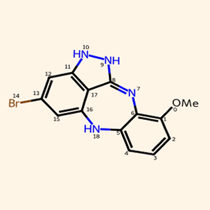 COc1cccc2c1N=C1NNc3cc(Br)cc(c31)N2